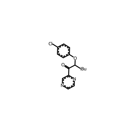 CCC(C)C(Oc1ccc(Cl)cc1)C(=O)c1cnccn1